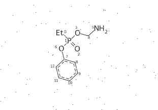 CCP(=O)(OCN)Oc1ccccc1